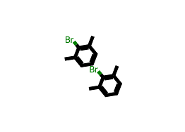 Cc1cccc(C)c1Br.Cc1cccc(C)c1Br